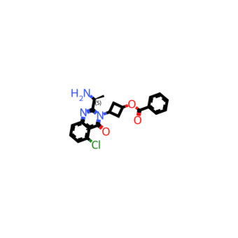 C[C@H](N)c1nc2cccc(Cl)c2c(=O)n1C1CC(OC(=O)c2ccccc2)C1